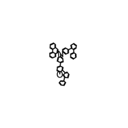 c1ccc(-c2ccccc2-c2ccc(N(c3ccc(-c4ccc5oc6c(-c7ccccc7)cccc6c5c4)cc3)c3cc4ccccc4c4ccccc34)cc2)cc1